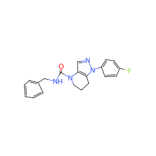 O=C(NCc1ccccc1)N1CCCc2c1cnn2-c1ccc(F)cc1